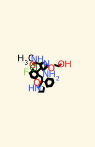 CNC(=O)c1cnc(OCCO)c(N)c1-c1c(Cl)c(F)cc2c1C[C@](c1ccccc1)([C@@H]1CCCN1)O2